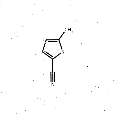 Cc1c[c]c(C#N)s1